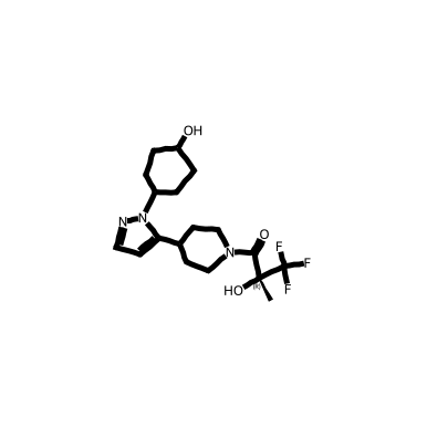 C[C@@](O)(C(=O)N1CCC(c2ccnn2C2CCC(O)CC2)CC1)C(F)(F)F